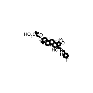 CC(C)C1=C2[C@H]3CC[C@@H]4[C@@]5(C)CC[C@H](OC(=O)CC(C)(C)C(=O)O)C(C)(C)C5CC[C@@]4(C)[C@]3(C)CCC2(C(O)CNCc2ccc(F)cc2)CC1=O